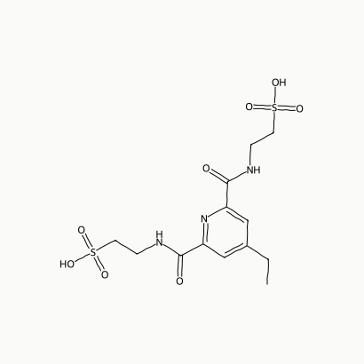 CCc1cc(C(=O)NCCS(=O)(=O)O)nc(C(=O)NCCS(=O)(=O)O)c1